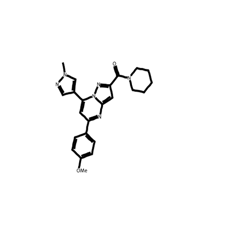 COc1ccc(-c2cc(-c3cnn(C)c3)n3nc(C(=O)N4CCCCC4)cc3n2)cc1